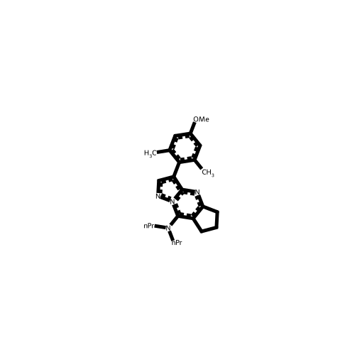 CCCN(CCC)c1c2c(nc3c(-c4c(C)cc(OC)cc4C)cnn13)CCC2